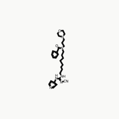 N#C/N=C(\NCCCCCCCCN(CCCN1CCOCC1)C(=O)c1ccccc1)Nc1ccncc1